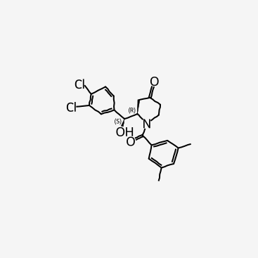 Cc1cc(C)cc(C(=O)N2CCC(=O)C[C@@H]2[C@@H](O)c2ccc(Cl)c(Cl)c2)c1